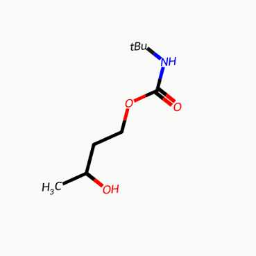 CC(O)CCOC(=O)NC(C)(C)C